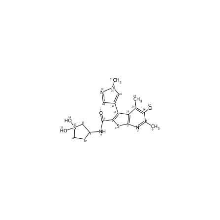 Cc1nc2sc(C(=O)NC3CCS(O)(O)C3)c(-c3cnn(C)c3)c2c(C)c1Cl